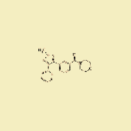 Cn1nc(-c2ccccc2)c(-c2cccc(C(=O)N3CCOCC3)c2)n1